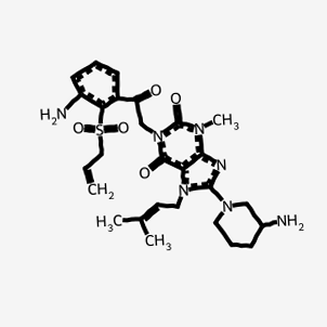 C=CCS(=O)(=O)c1c(N)cccc1C(=O)Cn1c(=O)c2c(nc(N3CCCC(N)C3)n2CC=C(C)C)n(C)c1=O